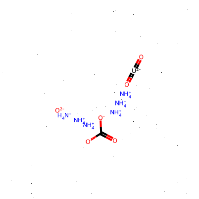 O=C([O-])[O-].[NH4+].[NH4+].[NH4+].[NH4+].[NH4+].[NH4+].[O-2].[O]=[U-2]=[O]